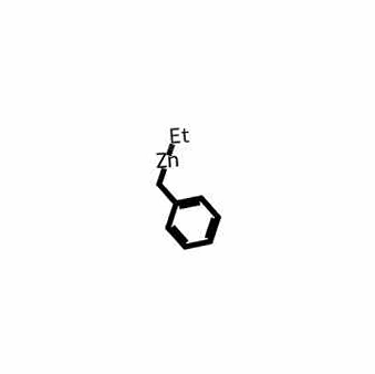 C[CH2][Zn][CH2]c1ccccc1